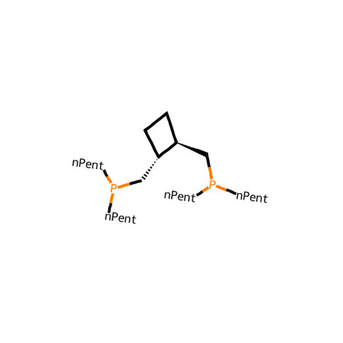 CCCCCP(CCCCC)C[C@@H]1CC[C@H]1CP(CCCCC)CCCCC